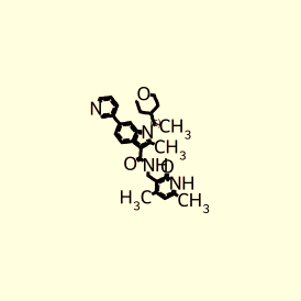 Cc1cc(C)c(CNC(=O)c2c(C)n([C@@H](C)C3CCOCC3)c3cc(-c4cccnc4)ccc23)c(=O)[nH]1